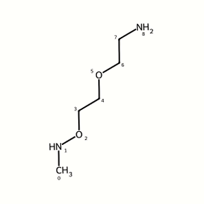 CNOCCOCCN